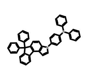 c1ccc(N(c2ccccc2)c2ccc(-n3ccc4c5c(ccc43)C(c3ccccc3)(c3ccccc3)c3ccccc3-5)cc2)cc1